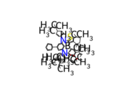 C=C(/C(=C\C(=C/C)C(C)(C)C)C1C=CC=CC1)N1c2cc3c4cc2B2c5c1cc(-c1ccccc1)cc5N(C1=CCC(C(C)(C)C)C=C1)c1sc5c(c12)C(C)(CCC5(C)C)CC4(C)CCC3(C)C